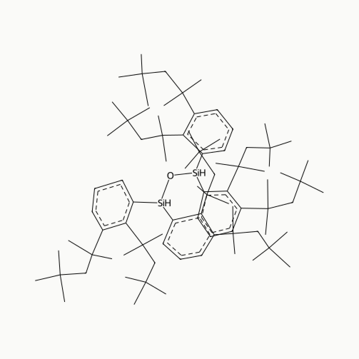 CC(C)(C)CC(C)(C)c1cccc([SiH](O[SiH](c2cccc(C(C)(C)CC(C)(C)C)c2C(C)(C)CC(C)(C)C)c2cccc(C(C)(C)CC(C)(C)C)c2C(C)(C)CC(C)(C)C)c2cccc(C(C)(C)CC(C)(C)C)c2C(C)(C)CC(C)(C)C)c1C(C)(C)CC(C)(C)C